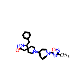 Cc1noc(N2C=CC=C(N3CCC4(CC3)CC(=O)NC4Cc3ccccc3)C=C2)n1